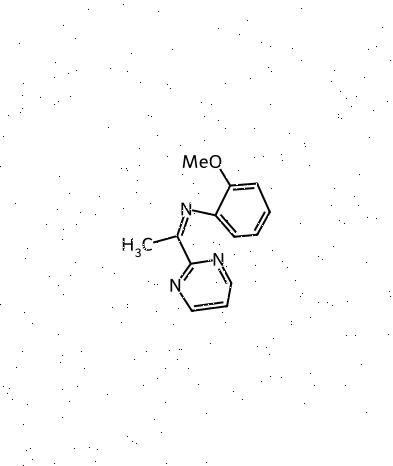 COc1ccccc1N=C(C)c1ncccn1